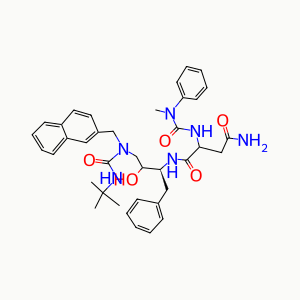 CN(C(=O)NC(CC(N)=O)C(=O)N[C@@H](Cc1ccccc1)C(O)CN(Cc1ccc2ccccc2c1)C(=O)NC(C)(C)C)c1ccccc1